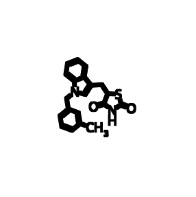 Cc1cccc(Cn2cc(CC3SC(=O)NC3=O)c3ccccc32)c1